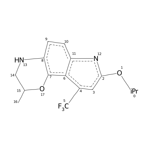 CC(C)Oc1cc(C(F)(F)F)c2c3c(ccc2n1)NCC(C)O3